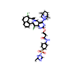 C#Cc1c(F)ccc2cccc(-c3ncc4c(N5C[C@H]6CC[C@@H](C5)N6)nc(OC=CC(=O)Nc5ccc(S(=O)(=O)n6cnc(C)n6)cc5)nc4c3F)c12